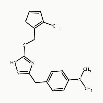 Cc1ccsc1CSc1nc(Cc2ccc(N(C)C)cc2)n[nH]1